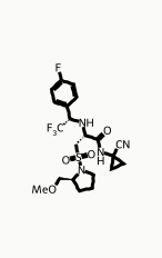 COC[C@@H]1CCCN1S(=O)(=O)C[C@H](N[C@@H](c1ccc(F)cc1)C(F)(F)F)C(=O)NC1(C#N)CC1